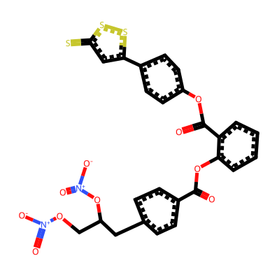 O=C(Oc1ccccc1C(=O)Oc1ccc(-c2cc(=S)ss2)cc1)c1ccc(CC(CO[N+](=O)[O-])O[N+](=O)[O-])cc1